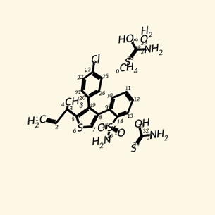 C.C=CC(C)c1scc(-c2ccccc2S(N)(=O)=O)c1-c1ccc(Cl)cc1.NC(O)=S.NC(O)=S.O